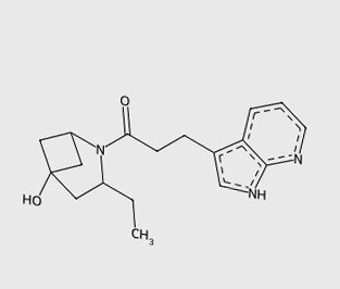 CCC1CC2(O)CC(C2)N1C(=O)CCc1c[nH]c2ncccc12